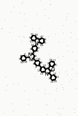 c1ccc(-c2nc(-c3ccc(-c4ccc5nc(-c6ccccc6)c6oc7ccccc7c6c5c4)cc3)cc(-c3ccc(-n4c5ccccc5c5ccccc54)cc3)n2)cc1